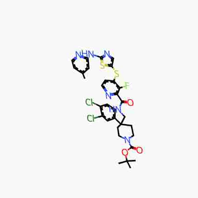 Cc1ccnc(Nc2ncc(Sc3ccnc(C(=O)NCC4(c5ccc(Cl)c(Cl)c5)CCN(C(=O)OC(C)(C)C)CC4)c3F)s2)c1